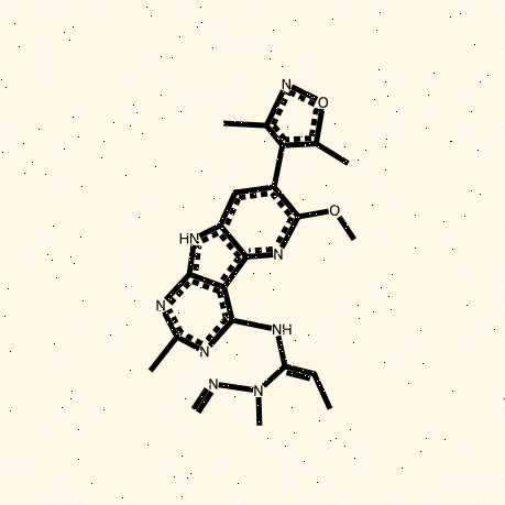 C=NN(C)/C(=C\C)Nc1nc(C)nc2[nH]c3cc(-c4c(C)noc4C)c(OC)nc3c12